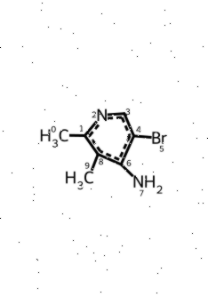 Cc1ncc(Br)c(N)c1C